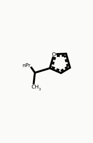 CCCC(C)c1ccco1